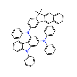 CC1(C)c2ccc(N(c3ccccc3)c3cc(N(c4ccccc4)c4ccccc4)cc4c3c3ccccc3n4-c3ccccc3)cc2-c2cc3ccccc3cc21